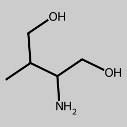 CC(CO)C(N)CO